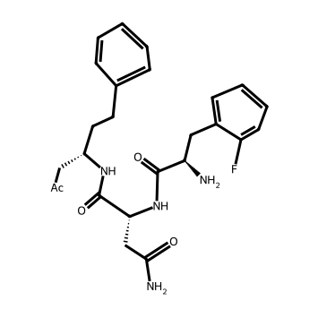 CC(=O)C[C@H](CCc1ccccc1)NC(=O)[C@@H](CC(N)=O)NC(=O)[C@H](N)Cc1ccccc1F